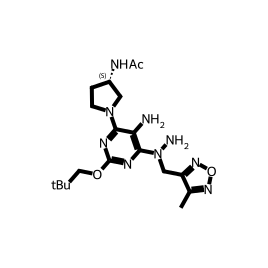 CC(=O)N[C@H]1CCN(c2nc(OCC(C)(C)C)nc(N(N)Cc3nonc3C)c2N)C1